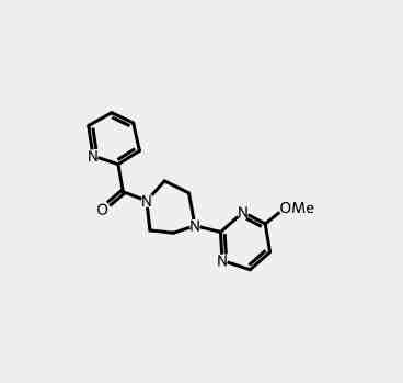 COc1ccnc(N2CCN(C(=O)c3ccccn3)CC2)n1